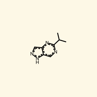 CC(C)c1ncc2[nH]ncc2n1